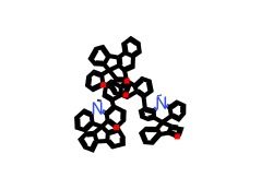 CN1c2ccccc2C2(c3ccccc3-c3ccccc32)c2cccc(-c3cccc4c(-c5cc6ccccc6c6c5C5(c7ccccc7-c7ccccc75)c5ccccc5-6)c5cccc(-c6cccc7c6N(C)c6ccccc6C76c7ccccc7-c7ccccc76)c5cc34)c21